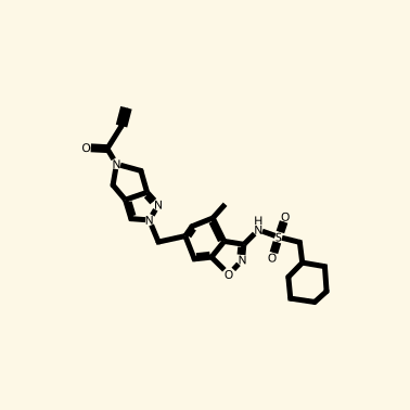 C#CC(=O)N1Cc2cn(Cc3cc(C)c4c(NS(=O)(=O)CC5CCCCC5)noc4c3)nc2C1